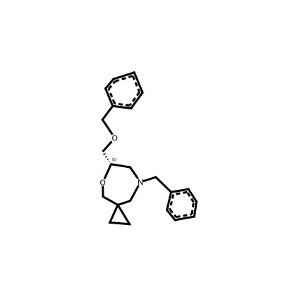 c1ccc(COC[C@@H]2CN(Cc3ccccc3)CC3(CC3)CO2)cc1